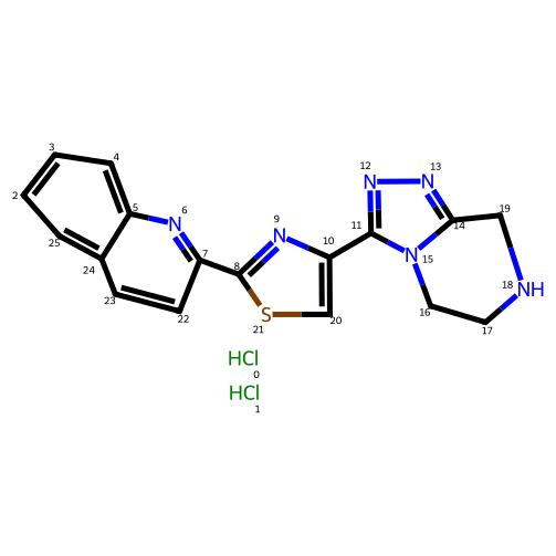 Cl.Cl.c1ccc2nc(-c3nc(-c4nnc5n4CCNC5)cs3)ccc2c1